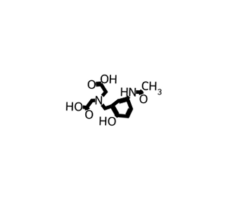 CC(=O)Nc1ccc(O)c(CN(CC(=O)O)CC(=O)O)c1